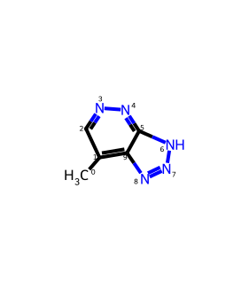 Cc1cnnc2[nH]nnc12